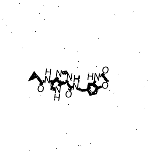 O=C1COc2ccc(CNC(=O)c3ncnc4c(NC(=O)C5CC5)c[nH]c34)cc2N1